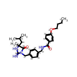 CCCCOc1ccc(C(=O)NCc2ccc(CN3C(=N)NC(C)(CC(C)C)C3=O)cc2)cc1